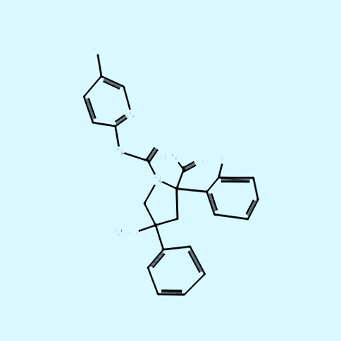 COC1(c2ccccc2)CN(C(=O)Nc2ccc(Cl)cn2)C(C(N)=O)(c2ccccc2F)C1